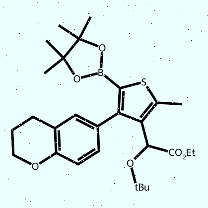 CCOC(=O)C(OC(C)(C)C)c1c(C)sc(B2OC(C)(C)C(C)(C)O2)c1-c1ccc2c(c1)CCCO2